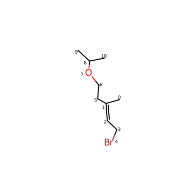 C/C(=C\CBr)CCOC(C)C